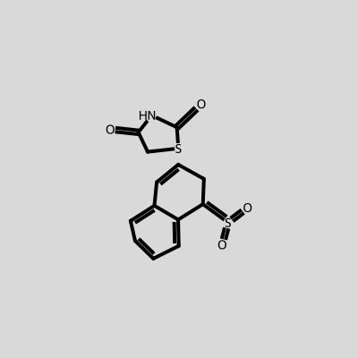 O=C1CSC(=O)N1.O=S(=O)=C1CC=Cc2ccccc21